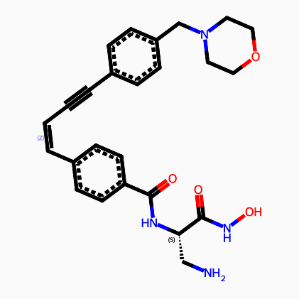 NC[C@H](NC(=O)c1ccc(/C=C\C#Cc2ccc(CN3CCOCC3)cc2)cc1)C(=O)NO